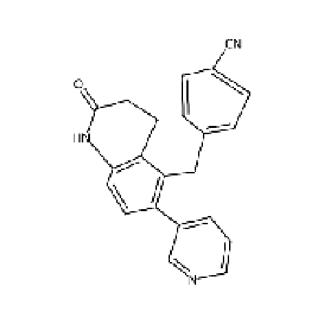 N#Cc1ccc(Cc2c(-c3cccnc3)ccc3c2CCC(=O)N3)cc1